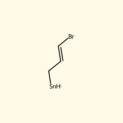 BrC=C[CH2][SnH]